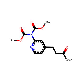 COC(=O)CCc1ccnc(N(C(=O)OC(C)(C)C)C(=O)OC(C)(C)C)c1